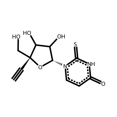 C#C[C@]1(CO)O[C@@H](n2ccc(=O)[nH]c2=S)C(O)C1O